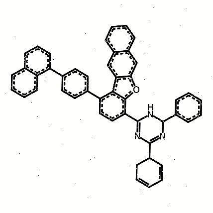 C1=CCC(C2=NC(c3ccccc3)NC(c3ccc(-c4ccc(-c5cccc6ccccc56)cc4)c4c3oc3cc5ccccc5cc34)=N2)C=C1